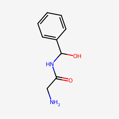 NCC(=O)N[C](O)c1ccccc1